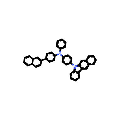 C1=CC2C=CC(c3ccc(N(c4ccccc4)c4ccc(-n5c6ccccc6c6cc7ccccc7cc65)cc4)cc3)=CC2C=C1